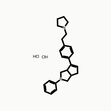 C1=C(c2ccc(CCN3CCCC3)cc2)C2CN(c3ccccc3)CC2C1.Cl.Cl